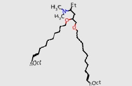 CCCCCCCCC=CCCCCCCCCOCC(CC(CC)N(C)C)OCCCCCCCCC=CCCCCCCCC